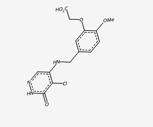 COc1ccc(CNc2cn[nH]c(=O)c2Cl)cc1OCC(=O)O